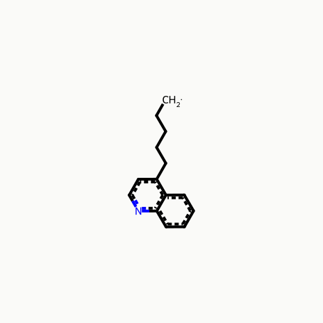 [CH2]CCCCc1ccnc2ccccc12